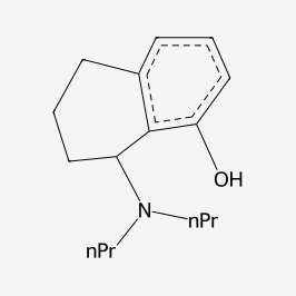 CCCN(CCC)C1CCCc2cccc(O)c21